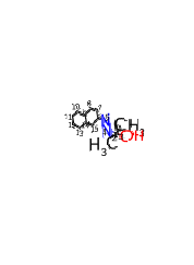 CC(C)(O)N=Nc1ccc2ccccc2c1